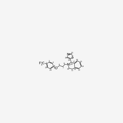 FC(F)(F)c1ccc(OCCCN2CCc3ccccc3C2c2cncs2)cc1